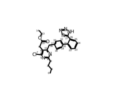 CCCCc1nc(Cl)c(CC(=O)OCC)c(Cc2ccc(-c3ccccc3-c3nnn[nH]3)cc2)n1